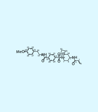 C=CC(=O)NC1CCN(S(=O)(=O)c2ccc(C(=O)NCCc3ccc(OC)cc3)cc2)C2(CCC2)C1